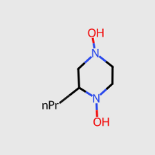 CCCC1CN(O)CCN1O